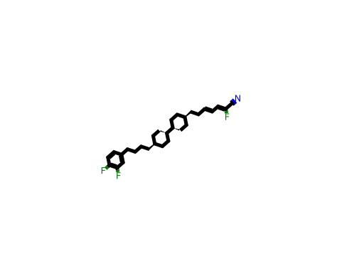 N#CC(F)=CC=CCC[C@H]1CC[C@H]([C@H]2CC[C@H](CCCCc3ccc(F)c(F)c3)CC2)CC1